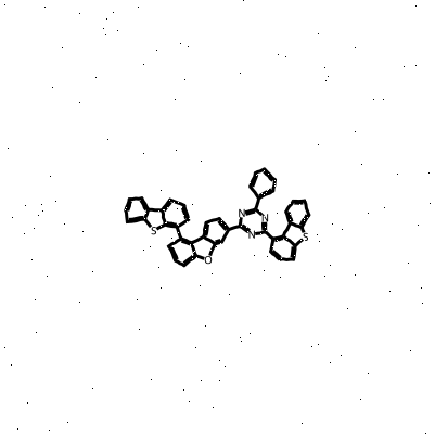 c1ccc(-c2nc(-c3ccc4c(c3)oc3cccc(-c5cccc6c5sc5ccccc56)c34)nc(-c3cccc4sc5ccccc5c34)n2)cc1